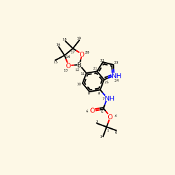 CC(C)(C)OC(=O)Nc1ccc(B2OC(C)(C)C(C)(C)O2)c2cc[nH]c12